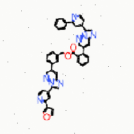 O=C(OCc1cccc(-c2cnn3c(-c4ccnc(-c5ccoc5)c4)cnc3c2)c1)c1ccccc1-c1cnn2c(-c3ccnc(-c4ccccc4)c3)cnc2c1